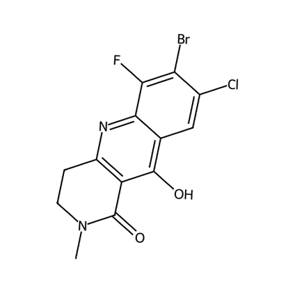 CN1CCc2nc3c(F)c(Br)c(Cl)cc3c(O)c2C1=O